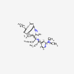 CC/C=C(Nc1ccc(C)cc1)/C(=C(\N=C(/C)c1ccnc(N(C)C)c1)OC)C(F)(F)F